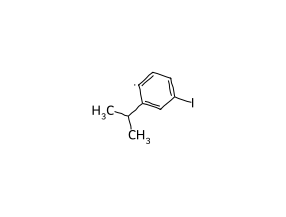 CC(C)c1[c]ccc(I)c1